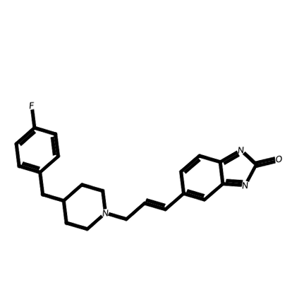 O=C1N=c2ccc(C=CCN3CCC(Cc4ccc(F)cc4)CC3)cc2=N1